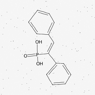 O=P(O)(O)C(=Cc1ccccc1)c1ccccc1